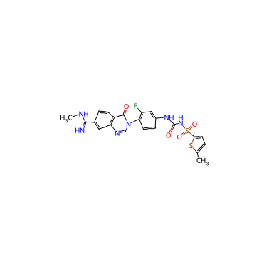 CNC(=N)c1ccc2c(=O)n(-c3ccc(NC(=O)NS(=O)(=O)c4ccc(C)s4)cc3F)cnc2c1